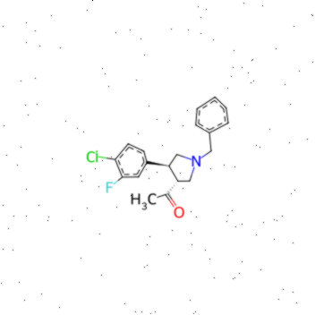 CC(=O)[C@H]1CN(Cc2ccccc2)C[C@@H]1c1ccc(Cl)c(F)c1